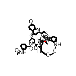 COc1ccc2c(O[C@@H]3C[C@@H](C(=O)N[C@]45C[C@H]4/C=C\CCCCCNc4ccccc4S(=O)(=O)NC5=O)N(C(=O)c4cccc(NC(C)=O)c4)C3)cc(-c3csc(NC(C)C)n3)nc2c1